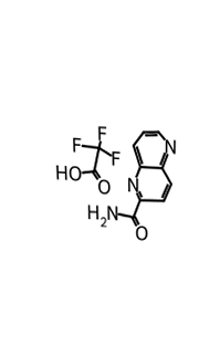 NC(=O)c1ccc2ncccc2n1.O=C(O)C(F)(F)F